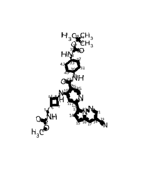 COC(=O)NC[C@H]1C[C@H](Nc2cc(-c3ccc4cc(C#N)cnn34)ncc2C(=O)N[C@H]2CC[C@H](NC(=O)OC(C)(C)C)CC2)C1